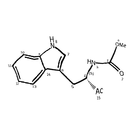 COC(=O)N[C@@H](Cc1c[nH]c2ccccc12)C(C)=O